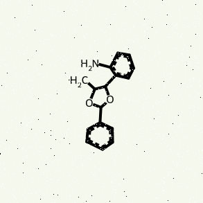 [CH2]C1OC(c2ccccc2)OC1c1ccccc1N